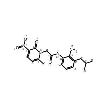 Cc1ccc([N+](=O)[O-])c(=O)n1CC(=O)Nc1cccc(CC(C)C)c1N